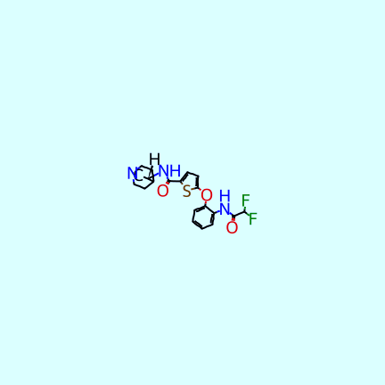 O=C(N[C@H]1CN2CCC1CC2)c1ccc(Oc2ccccc2NC(=O)C(F)F)s1